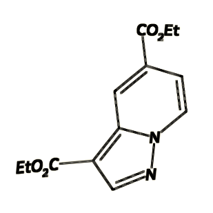 CCOC(=O)c1ccn2ncc(C(=O)OCC)c2c1